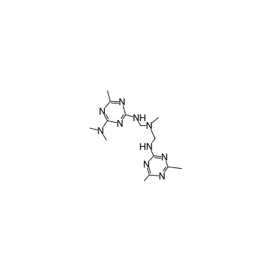 Cc1nc(C)nc(NCN(C)CNc2nc(C)nc(N(C)C)n2)n1